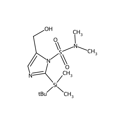 CN(C)S(=O)(=O)n1c(CO)cnc1[Si](C)(C)C(C)(C)C